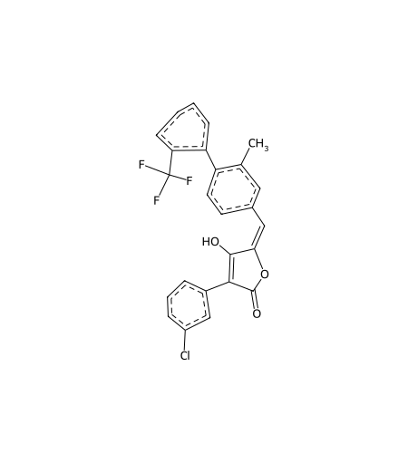 Cc1cc(C=C2OC(=O)C(c3cccc(Cl)c3)=C2O)ccc1-c1ccccc1C(F)(F)F